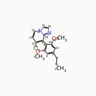 CCCc1cc(OC)c(-c2c(Cl)ccn3ccnc23)c(OC)c1